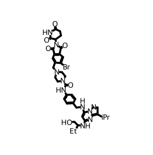 CCC(CO)Nc1cc(NCc2ccc(NC(=O)N3CCN(Cc4cc5c(cc4Br)C(=O)N(C4CCC(=O)NC4=O)C5=O)CC3)cc2)n2ncc(C(C)C)c2n1